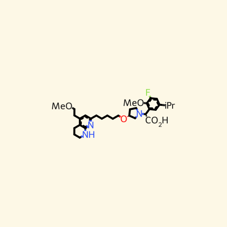 COCCc1cc(CCCCCO[C@@H]2CCN([C@H](C(=O)O)c3cc(C(C)C)cc(F)c3OC)C2)nc2c1CCCN2